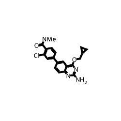 CNC(=O)c1ccc(-c2ccc3nc(N)nc(OCC4CC4)c3c2)cc1Cl